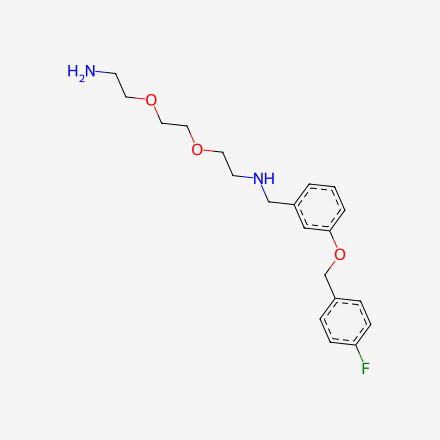 NCCOCCOCCNCc1cccc(OCc2ccc(F)cc2)c1